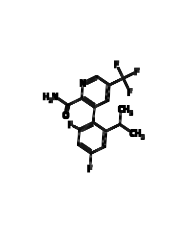 CC(C)c1cc(F)cc(F)c1-c1cc(C(F)(F)F)cnc1C(N)=O